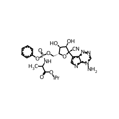 CC(C)OC(=O)C(C)N[P@@](=O)(OC[C@H]1O[C@@](C#N)(c2cnc3n(N)cnnc2-3)[C@H](O)[C@@H]1O)Oc1ccccc1